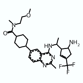 COCCN(C)C(=O)C1CCC(c2ccc3nc(C)nc(NC(C)C4C=C(C(F)(F)F)CC4N)c3c2)CC1